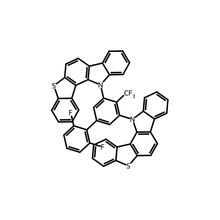 Fc1cccc(F)c1-c1cc(-n2c3ccccc3c3ccc4sc5ccccc5c4c32)c(C(F)(F)F)c(-n2c3ccccc3c3ccc4sc5ccccc5c4c32)c1